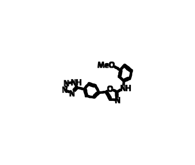 COc1cccc(Nc2ncc(-c3ccc(-c4nnn[nH]4)cc3)o2)c1